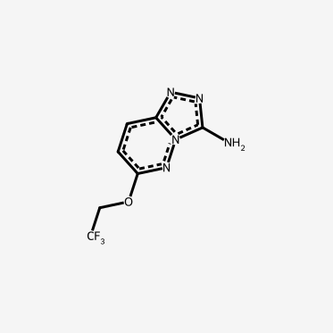 Nc1nnc2ccc(OCC(F)(F)F)nn12